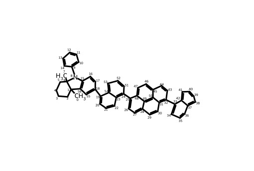 CC12CCCCC1(C)N(c1ccccc1)c1ccc(-c3cccc4c(-c5ccc6ccc7c(-c8cccc9ccccc89)ccc8ccc5c6c87)cccc34)cc12